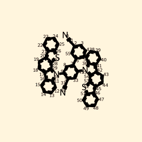 N#Cc1cccc(-c2cc(-n3c4ccccc4c4ccc5c6ccccc6sc5c43)c(C#N)cc2-n2c3ccccc3c3ccc4c5ccccc5sc4c32)c1